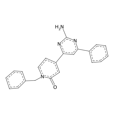 Nc1nc(-c2ccccc2)cc(-c2ccn(Cc3ccccc3)c(=O)c2)n1